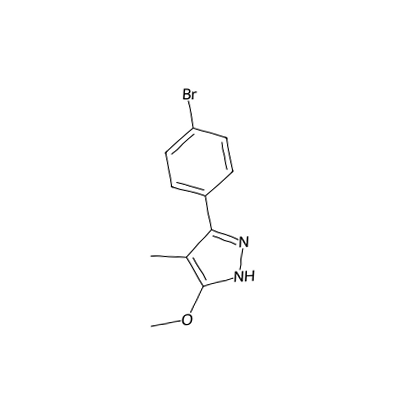 COc1[nH]nc(-c2ccc(Br)cc2)c1C